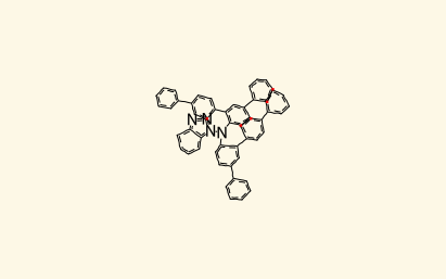 c1ccc(-c2ccc(-c3cc(-c4ccccc4)ccc3N(c3ccc(-c4ccccc4)cc3-c3ccc(-c4ccccc4)cc3)n3nnc4ccccc43)cc2)cc1